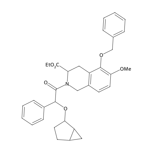 CCOC(=O)C1Cc2c(ccc(OC)c2OCc2ccccc2)CN1C(=O)C(OC1CCC2CC21)c1ccccc1